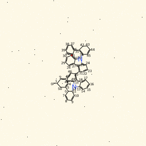 C[C@H]1C=CC=C(C2C=CC=CC2n2c3ccccc3c3c(-c4cccc5c4c4ccccc4n5C4=C(c5ccccc5)CCC=C4)cccc32)C1